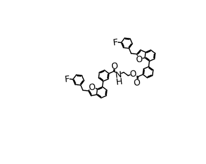 O=C(NCCOC(=O)c1cccc(-c2cccc3cc(Cc4cccc(F)c4)oc23)c1)c1cccc(-c2cccc3cc(Cc4cccc(F)c4)oc23)c1